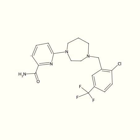 NC(=O)c1[c]ccc(N2CCCN(Cc3cc(C(F)(F)F)ccc3Cl)CC2)n1